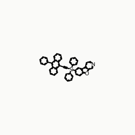 C(#C[Si](c1ccccc1)(c1ccccc1)c1ccc2oc3cnccc3c2c1)c1c2ccccc2c(-c2ccccc2)c2ccccc12